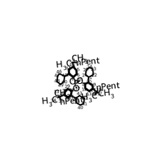 CCCCCC(C)(C)c1ccc(OP(Oc2ccc(C(C)(C)CCCCC)cc2C2CCCCC2)Oc2ccc(C(C)(C)CCCCC)cc2C2CCCCC2)c(C2CCCCC2)c1